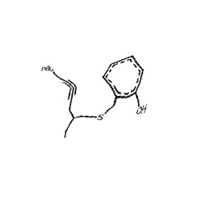 CCCCC#CC(C)Sc1ccccc1O